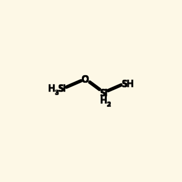 [SiH3]O[SiH2]S